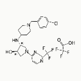 O=C(O)C(F)(F)F.O[C@@H]1CN(c2ccnc(C(F)(F)F)n2)C[C@H]1NC1CCN(Cc2ccc(Cl)cc2)CC1